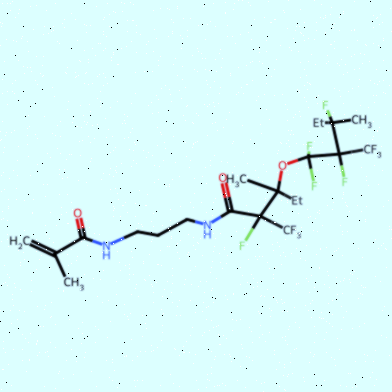 C=C(C)C(=O)NCCCNC(=O)C(F)(C(F)(F)F)C(C)(CC)OC(F)(F)C(F)(C(F)(F)F)C(C)(F)CC